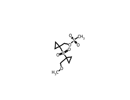 COCC1(S(=O)(=O)C2(COS(C)(=O)=O)CC2)CC1